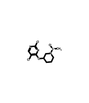 C[S+]([O-])N1CCCC(Oc2nc(Cl)ncc2Cl)C1